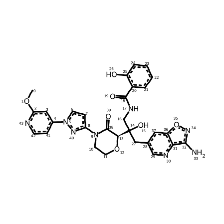 COc1cc(-n2ccc(N3CCO[C@H](C(O)(CNC(=O)c4ccccc4O)Cc4cnc5c(N)noc5c4)C3=O)n2)ccn1